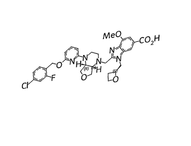 COc1cc(C(=O)O)cc2c1nc(CN1CCN(c3cccc(OCc4ccc(Cl)cc4F)n3)[C@H]3COC[C@H]31)n2C[C@@H]1CCO1